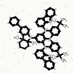 CC(C)(C)c1ccc2c(c1)N(c1cccc3c1oc1ccccc13)c1cc(N3c4ccc(-c5ccccc5)cc4C4(C)CCCCC34C)cc3c1B2c1ccc(C(C)(C)C)cc1N3c1cccc2c1oc1ccccc12